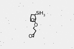 [SiH3]C1CC2CC(OCCC3CO3)C1O2